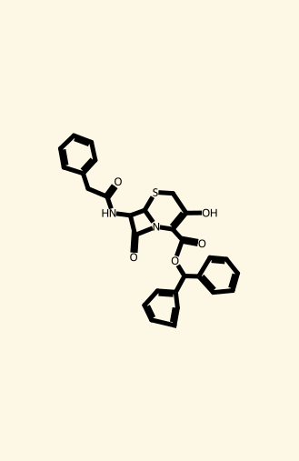 O=C(Cc1ccccc1)NC1C(=O)N2C(C(=O)OC(c3ccccc3)c3ccccc3)=C(O)CSC12